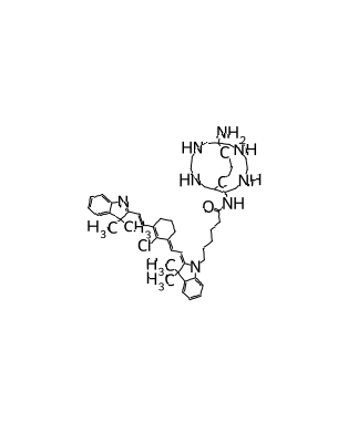 CC1(C)C(/C=C/C2=C(Cl)C(=C/C=C3/N(CCCCCC(=O)NC4CNCCNCC5(N)CCCCCC4CNCCNC5)c4ccccc4C3(C)C)/CCC2)=Nc2ccccc21